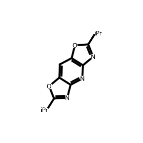 CC(C)c1nc2nc3nc(C(C)C)oc3cc2o1